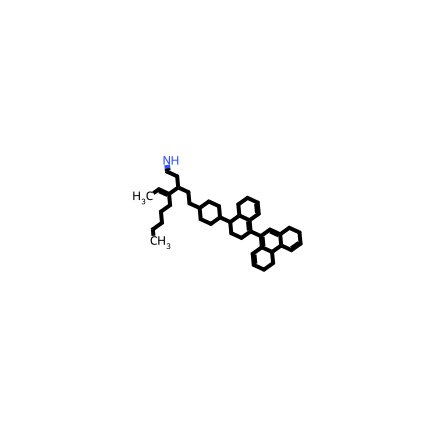 C/C=C(\CCCCC)C(CC=N)CCC1CCC(C2CCC(C3=C4C=CCCC4C4C=CCCC4=C3)=C3C=CCCC32)CC1